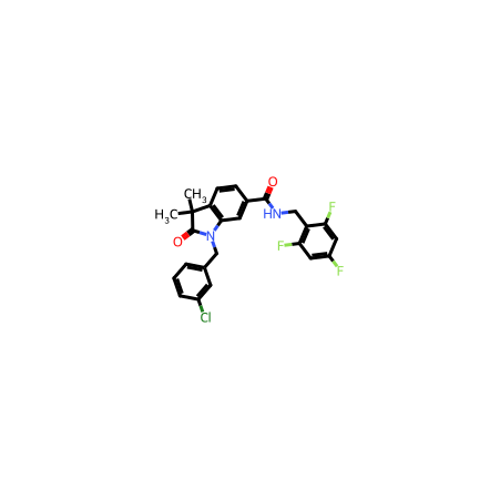 CC1(C)C(=O)N(Cc2cccc(Cl)c2)c2cc(C(=O)NCc3c(F)cc(F)cc3F)ccc21